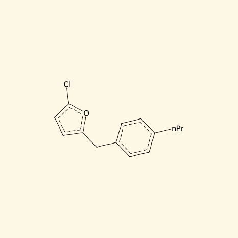 CCCc1ccc(Cc2ccc(Cl)o2)cc1